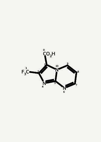 O=C(O)c1c(C(F)(F)F)nc2ncccn12